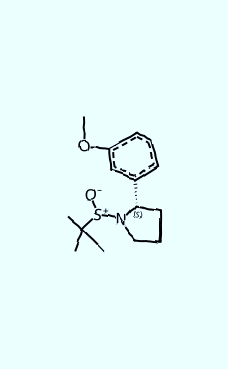 COc1cccc([C@@H]2CCCN2[S+]([O-])C(C)(C)C)c1